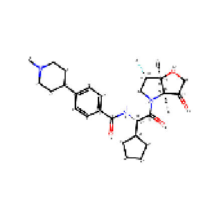 CN1CCC(c2ccc(C(=O)N[C@H](C(=O)N3C[C@H](F)[C@H]4OCC(=O)[C@H]43)C3CCCC3)cc2)CC1